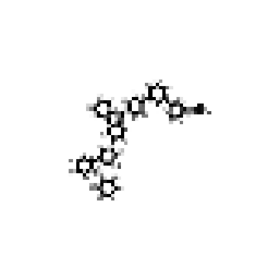 CCCCc1ccc2oc3c(-c4ccc(-n5c6ccccc6c6cc(-c7ccc8c(c7)c7ccccc7n8-c7ccccc7)ccc65)cc4)cccc3c2c1